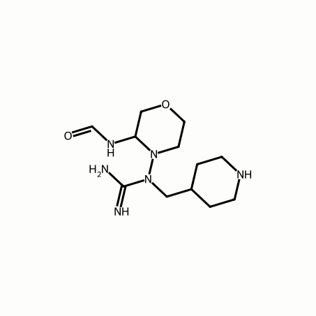 N=C(N)N(CC1CCNCC1)N1CCOCC1NC=O